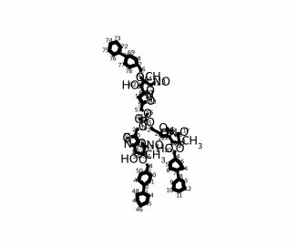 C[C@@](OCc1ccc(-c2ccccc2)cc1)(C(=O)N=O)[C@@H](O)c1cc(COP(=O)(OCc2cc([C@H](O)[C@](C)(OCc3ccc(-c4ccccc4)cc3)C(=O)N=O)no2)OCc2cc([C@H](O)[C@](C)(OCc3ccc(-c4ccccc4)cc3)C(=O)N=O)no2)on1